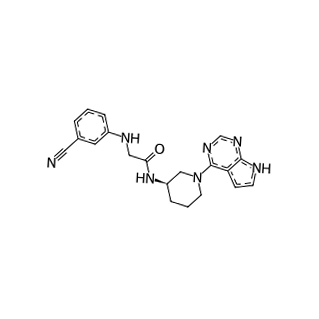 N#Cc1cccc(NCC(=O)N[C@@H]2CCCN(c3ncnc4[nH]ccc34)C2)c1